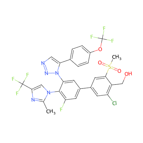 Cc1nc(C(F)(F)F)cn1-c1c(F)cc(-c2cc(Cl)c(CO)c(S(C)(=O)=O)c2)cc1-n1nncc1-c1ccc(OC(F)(F)F)cc1